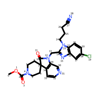 COC(=O)N1CCC2(CC1)C(=O)N(Cc1nc3cc(Cl)ccc3n1CCCC#N)c1cnccc12